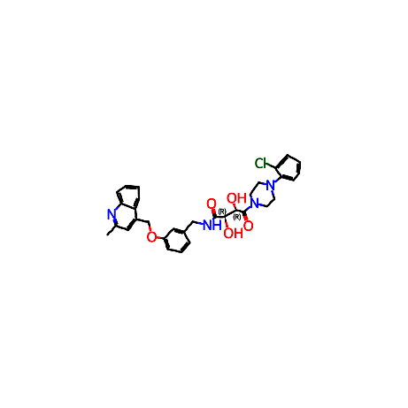 Cc1cc(COc2cccc(CNC(=O)[C@H](O)[C@@H](O)C(=O)N3CCN(c4ccccc4Cl)CC3)c2)c2ccccc2n1